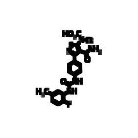 CCN(C(=O)O)c1snc(-c2ccc(NC(=O)Nc3cc(C)ccc3F)cc2)c1C(N)=O